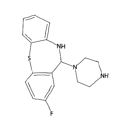 Fc1ccc2c(c1)C(N1CCNCC1)Nc1ccccc1S2